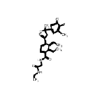 C/C=c1/c(C(=O)NCC(=O)NCC(F)(F)F)ccc(C2=NOC(c3cc(C)c(F)c(Cl)c3)(C(F)(F)F)C2)/c1=C/C